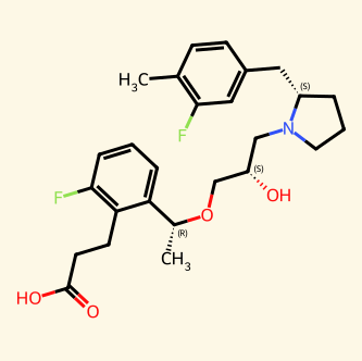 Cc1ccc(C[C@@H]2CCCN2C[C@H](O)CO[C@H](C)c2cccc(F)c2CCC(=O)O)cc1F